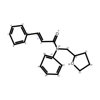 O=C(/C=C/c1ccccc1)N(CC1CCCO1)c1ccccc1